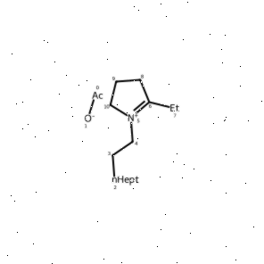 CC(=O)[O-].CCCCCCCCC[N+]1=C(CC)CCC1